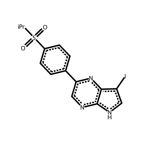 CC(C)S(=O)(=O)c1ccc(-c2cnc3[nH]cc(I)c3n2)cc1